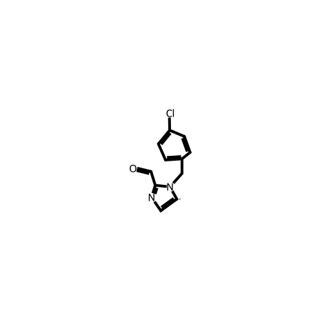 O=Cc1nc[c]n1Cc1ccc(Cl)cc1